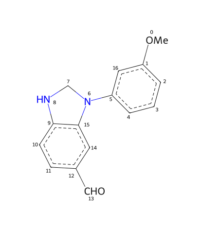 COc1cccc(N2CNc3ccc(C=O)cc32)c1